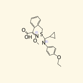 CCOc1ccc(/N=C(/SCc2ccccc2/C(=N/OC)C(=O)O)C2CC2)cc1